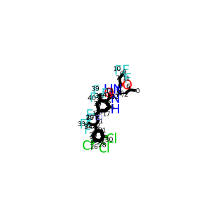 CCC[C@H](NC(=O)CC(F)(F)F)NC(=O)c1ccc(/C(F)=C/C(c2cc(Cl)c(Cl)c(Cl)c2)C(F)(F)F)cc1C(F)(F)F